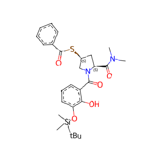 CN(C)C(=O)[C@@H]1C[C@H](SC(=O)c2ccccc2)CN1C(=O)c1cccc(O[Si](C)(C)C(C)(C)C)c1O